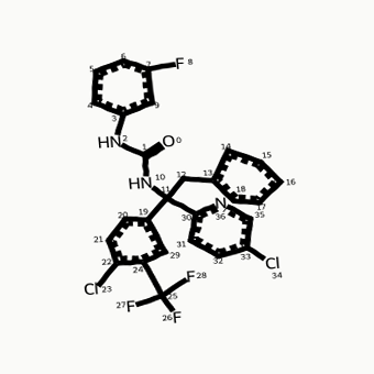 O=C(Nc1cccc(F)c1)NC(Cc1ccccc1)(c1ccc(Cl)c(C(F)(F)F)c1)c1ccc(Cl)cn1